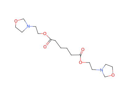 O=C(CCCCC(=O)OCCN1CCOC1)OCCN1CCOC1